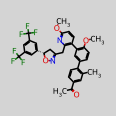 COc1ccc(-c2cc(-c3ccc(C(C)=O)cc3C)ccc2OC)c(CC2=NO[C@H](c3cc(C(F)(F)F)cc(C(F)(F)F)c3)C2)n1